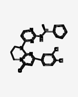 C[C@H](Nc1nccc(N2CCCn3c2nc(-c2ccc(Cl)c(Cl)c2)cc3=O)n1)c1ccccc1